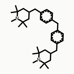 CN1C(C)(C)CC(Cc2ccc(Cc3ccc(CC4CC(C)(C)N(C)C(C)(C)C4)cc3)cc2)CC1(C)C